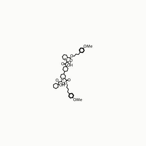 COc1ccc(CCCCOC(=O)C2CC(C3CCC(O)(C(=O)C(=O)N4CCCCC4C(=O)OCCCc4ccc(OC)cc4)CC3)CCN2C(=O)C(=O)C2(O)CCCCC2)cc1